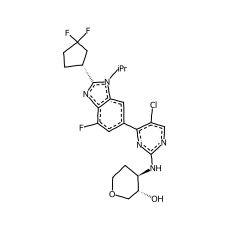 CC(C)n1c([C@@H]2CCC(F)(F)C2)nc2c(F)cc(-c3nc(N[C@@H]4CCOC[C@H]4O)ncc3Cl)cc21